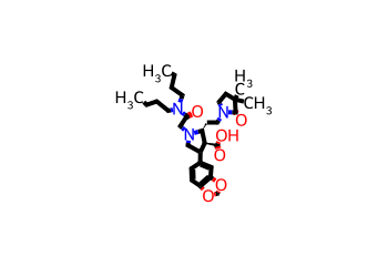 CCCCN(CCCC)C(=O)CN1CC(c2ccc3c(c2)OCO3)[C@H](C(=O)O)[C@H]1CCN1CCC(C)(C)C1=O